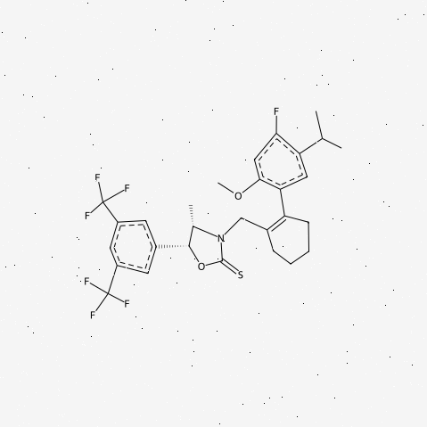 COc1cc(F)c(C(C)C)cc1C1=C(CN2C(=S)O[C@H](c3cc(C(F)(F)F)cc(C(F)(F)F)c3)[C@@H]2C)CCCC1